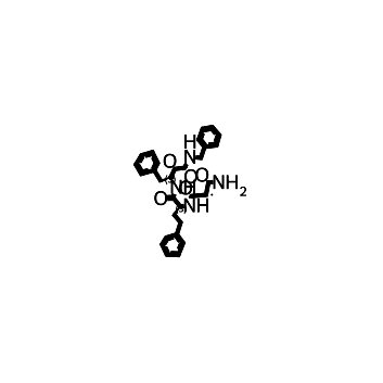 NC(=O)[CH]C(=O)N[C@@H](CCc1ccccc1)C(=O)N[C@@H](Cc1ccccc1)C(=O)C(=O)NCc1ccccc1